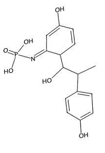 CC(c1ccc(O)cc1)C(O)C1C=CC(O)=CC1=NP(=O)(O)O